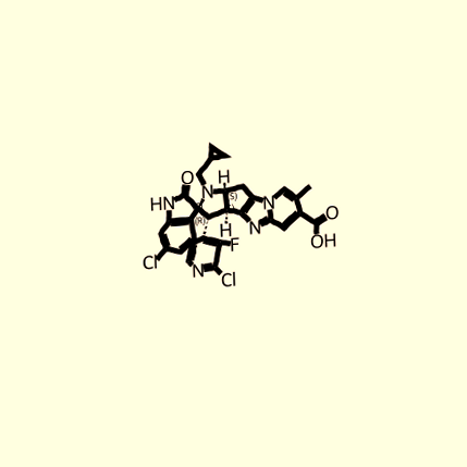 Cc1cn2c3c(nc2cc1C(=O)O)[C@@H]1[C@H](C3)N(CC2CC2)[C@@]2(C(=O)Nc3cc(Cl)ccc32)[C@H]1c1ccnc(Cl)c1F